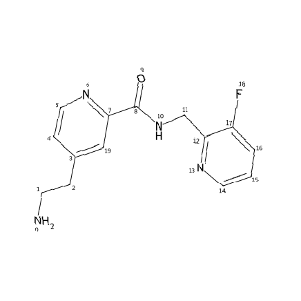 NCCc1ccnc(C(=O)NCc2ncccc2F)c1